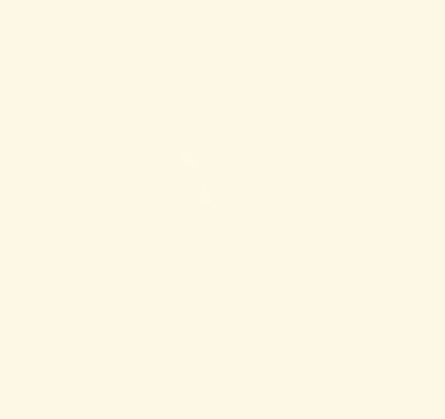 O=COc1cccc(I)c1